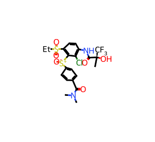 CCS(=O)(=O)c1ccc(NC(=O)[C@@](C)(O)C(F)(F)F)c(Cl)c1[S+]([O-])c1ccc(C(=O)N(C)C)cc1